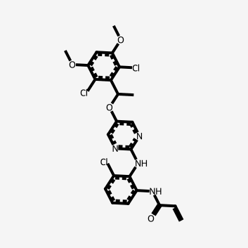 C=CC(=O)Nc1cccc(Cl)c1Nc1ncc(OC(C)c2c(Cl)c(OC)cc(OC)c2Cl)cn1